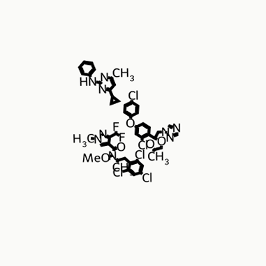 CC1COC(Cn2cncn2)(c2ccc(Oc3ccc(Cl)cc3)cc2Cl)O1.CON(C(=O)c1cn(C)nc1C(F)F)C(C)Cc1c(Cl)cc(Cl)cc1Cl.Cc1cc(C2CC2)nc(Nc2ccccc2)n1